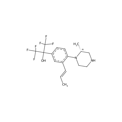 CC=Cc1cc(C(O)(C(F)(F)F)C(F)(F)F)ccc1N1CCNC[C@H]1C